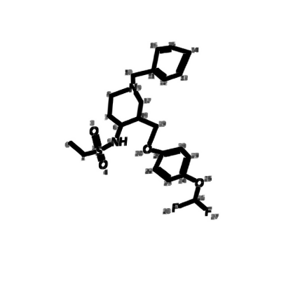 CCS(=O)(=O)NC1CCN(Cc2ccccc2)CC1COc1ccc(OC(F)F)cc1